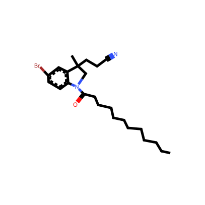 CCCCCCCCCCCC(=O)N1CC(C)(CCC#N)c2cc(Br)ccc21